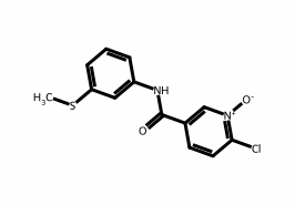 CSc1cccc(NC(=O)c2ccc(Cl)[n+]([O-])c2)c1